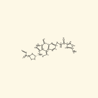 C=CC(=O)N1CC[C@@H](Nc2n[nH]c(N=C)c2/C(=C\C)c2ccc(CNC(=O)c3noc(C(C)(C)C)n3)cc2)C1